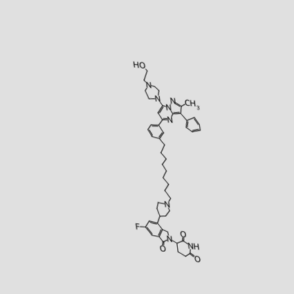 Cc1nn2c(N3CCN(CCO)CC3)cc(-c3cccc(CCCCCCCCCN4CCC(c5cc(F)cc6c5CN(C5CCC(=O)NC5=O)C6=O)CC4)c3)nc2c1-c1ccccc1